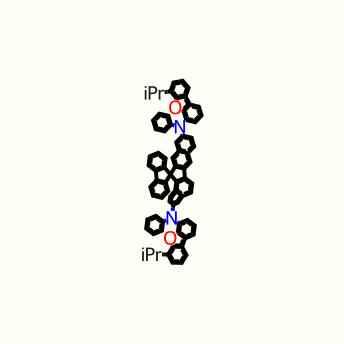 CC(C)c1cccc2c1oc1c(N(c3ccccc3)c3ccc4cc5c(cc4c3)C3(c4ccccc4-c4ccccc43)c3c-5ccc4cc(N(c5ccccc5)c5cccc6c5oc5c(C(C)C)cccc56)ccc34)cccc12